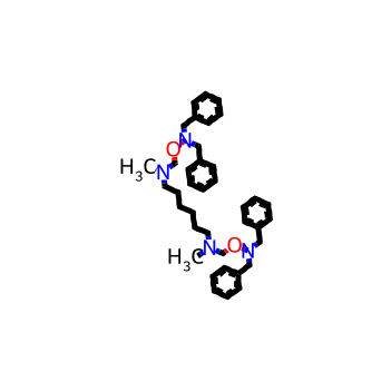 CN(CCCCCCN(C)CON(Cc1ccccc1)Cc1ccccc1)CON(Cc1ccccc1)Cc1ccccc1